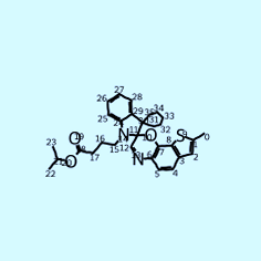 Cc1cc2ccc3c(c2s1)OC1(C=N3)N(CCCC(=O)OC(C)C)c2ccccc2C12CCCCC2